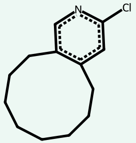 Clc1cc2c(cn1)CCCCCCCC2